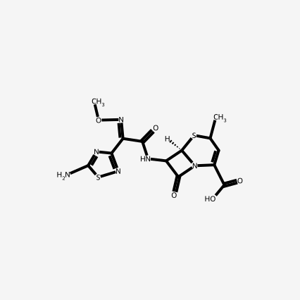 CO/N=C(/C(=O)NC1C(=O)N2C(C(=O)O)=CC(C)S[C@H]12)c1nsc(N)n1